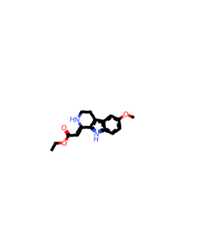 CCOC(=O)C=C1NCCc2c1[nH]c1ccc(OC)cc21